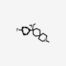 CN1CCC2(CC1)CCC(c1ccc(F)cc1)(N(C)C)CC2